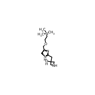 C[Si](C)(C)CCOCc1c[nH]c(CC2(O)CNC2)n1